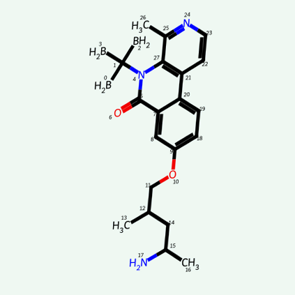 BC(B)(B)n1c(=O)c2cc(OCC(C)CC(C)N)ccc2c2ccnc(C)c21